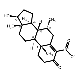 C[C@@H]1CC2=C([N+](=O)[O-])C(=O)CC[C@]2(C)[C@H]2CC[C@]3(C)[C@@H](O)CC[C@H]3[C@H]12